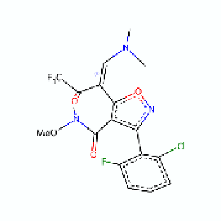 CON(C)C(=O)c1c(-c2c(F)cccc2Cl)noc1/C(=C\N(C)C)C(=O)C(F)(F)F